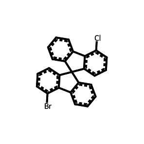 Clc1cccc2c1-c1ccccc1C21c2ccccc2-c2c(Br)cccc21